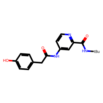 CC(C)(C)NC(=O)c1cc(NC(=O)Cc2ccc(O)cc2)ccn1